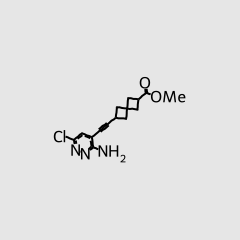 COC(=O)C1CC2(CC(C#Cc3cc(Cl)nnc3N)C2)C1